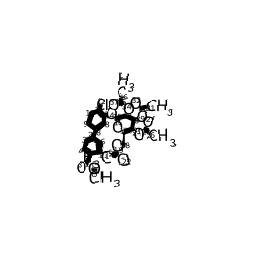 COC(=O)c1ccc(-c2ccc(Cl)c(O[C@H]3O[C@H](COC(C)=O)[C@@H](OC(C)=O)[C@H](OC(C)=O)[C@@H]3OC(C)=O)c2)cc1